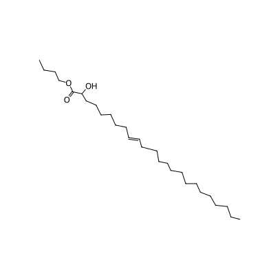 CCCCCCCCCCCCCCC=CCCCCCCC(O)C(=O)OCCCC